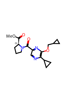 COC(=O)[C@@H]1CCCN1C(=O)c1cnc(C2CC2)c(OCC2CC2)n1